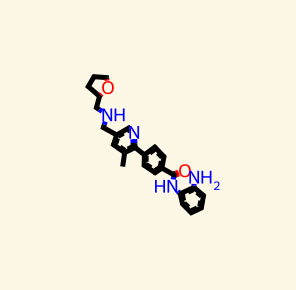 Cc1cc(CNCC2CCCO2)cnc1-c1ccc(C(=O)Nc2ccccc2N)cc1